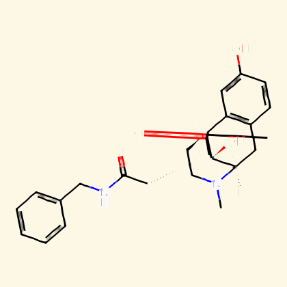 CN1CC[C@]23CC(=O)[C@@H](CC(=O)NCc4ccccc4)C[C@@]2(O)[C@H]1Cc1ccc(O)cc13